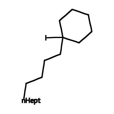 CCCCCCCCCCCC1(I)CCCCC1